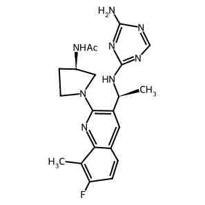 CC(=O)N[C@@H]1CCN(c2nc3c(C)c(F)ccc3cc2[C@H](C)Nc2ncnc(N)n2)C1